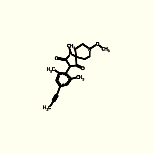 CC#Cc1cc(C)c(C2C(=O)N(C)C3(CCN(OC)CC3)C2=O)c(C)c1